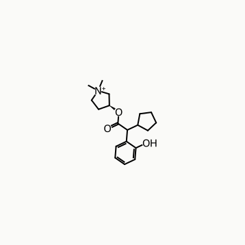 C[N+]1(C)CC[C@H](OC(=O)C(c2ccccc2O)C2CCCC2)C1